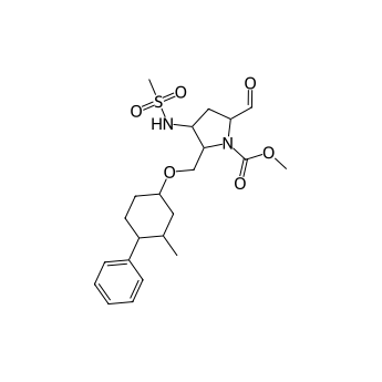 COC(=O)N1C(C=O)CC(NS(C)(=O)=O)C1COC1CCC(c2ccccc2)C(C)C1